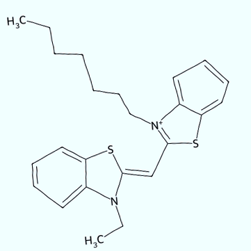 CCCCCCC[n+]1c(/C=C2\Sc3ccccc3N2CC)sc2ccccc21